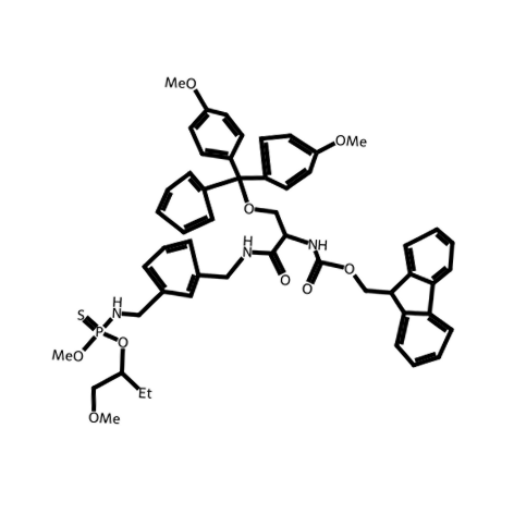 CCC(COC)OP(=S)(NCc1cccc(CNC(=O)C(COC(c2ccccc2)(c2ccc(OC)cc2)c2ccc(OC)cc2)NC(=O)OCC2c3ccccc3-c3ccccc32)c1)OC